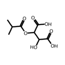 CC(C)C(=O)OC(C(=O)O)C(O)C(=O)O